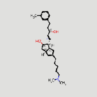 Cc1cccc(CC[C@@H](O)/C=C/[C@@H]2[C@H]3CC(CCCCCN(C)C)=C[C@H]3C[C@H]2O)c1